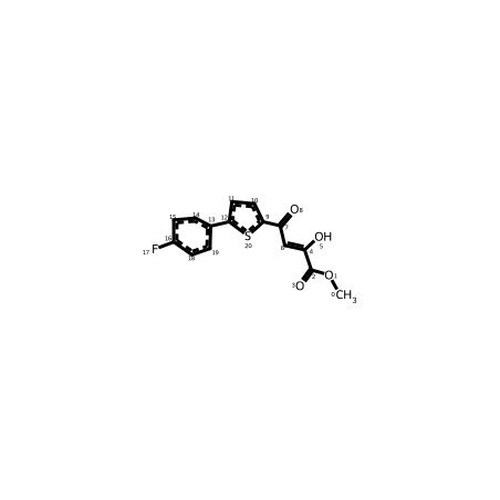 COC(=O)/C(O)=C/C(=O)c1ccc(-c2ccc(F)cc2)s1